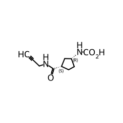 C#CCNC(=O)[C@H]1CC[C@@H](NC(=O)O)C1